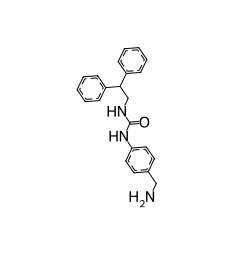 NCc1ccc(NC(=O)NCC(c2ccccc2)c2ccccc2)cc1